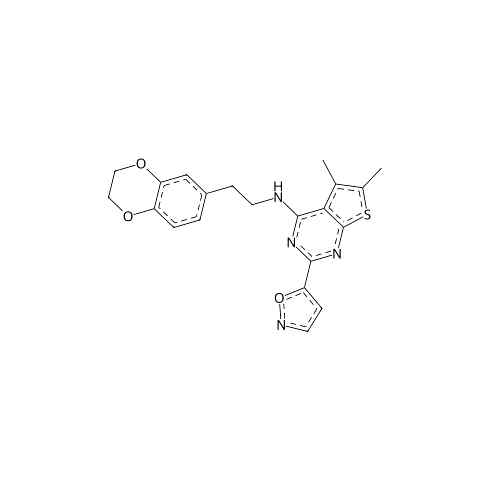 Cc1sc2nc(-c3ccno3)nc(NCCc3ccc4c(c3)OCCO4)c2c1C